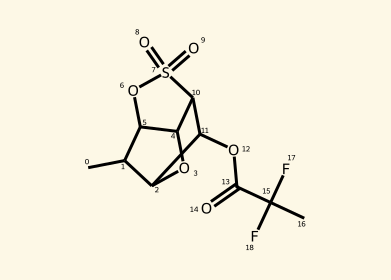 CC1C2OC3C1OS(=O)(=O)C3C2OC(=O)C(C)(F)F